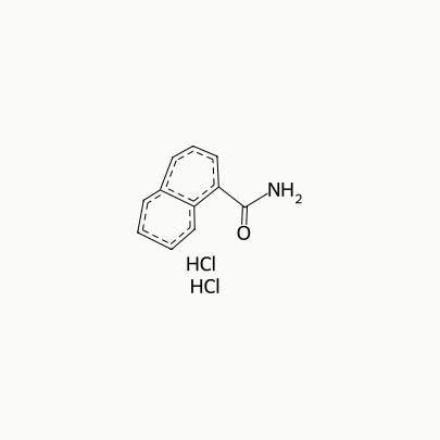 Cl.Cl.NC(=O)c1cccc2ccccc12